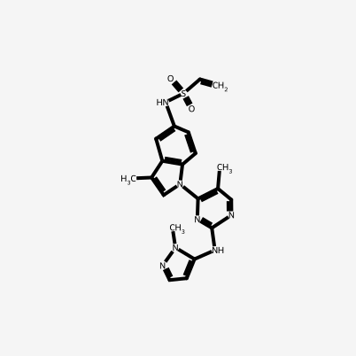 C=CS(=O)(=O)Nc1ccc2c(c1)c(C)cn2-c1nc(Nc2ccnn2C)ncc1C